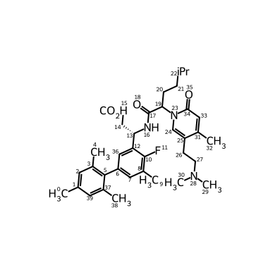 Cc1cc(C)c(-c2cc(C)c(F)c([C@H](CC(=O)O)NC(=O)C(CCC(C)C)n3cc(CCN(C)C)c(C)cc3=O)c2)c(C)c1